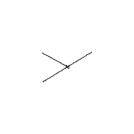 CCCCCCCCCCCCCCCCCCCCCCCCCCCCC[CH2][Al]([CH2]CCCCCCCCCCCCCCCCCCCCCCCCCCCCC)[CH2]CCCCCCCCCCCCCCCCCCCCCCCCCCCCC